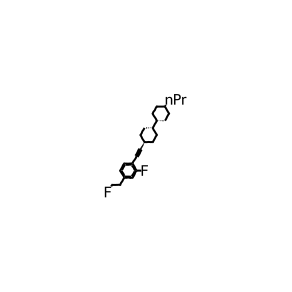 CCC[C@H]1CC[C@H]([C@H]2CC[C@H](C#Cc3ccc(CCF)cc3F)CC2)CC1